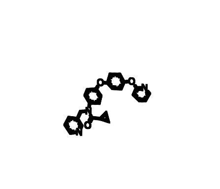 O=C(C1CC1)N(Cc1cccnc1)c1ccc(Oc2ccc(Oc3ccccn3)cc2)cc1